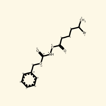 CC(Br)CCCC(=O)ONC(=O)OCc1ccccc1